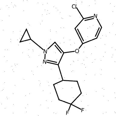 FC1(F)CCC(c2nn(C3CC3)cc2Oc2ccnc(Cl)c2)CC1